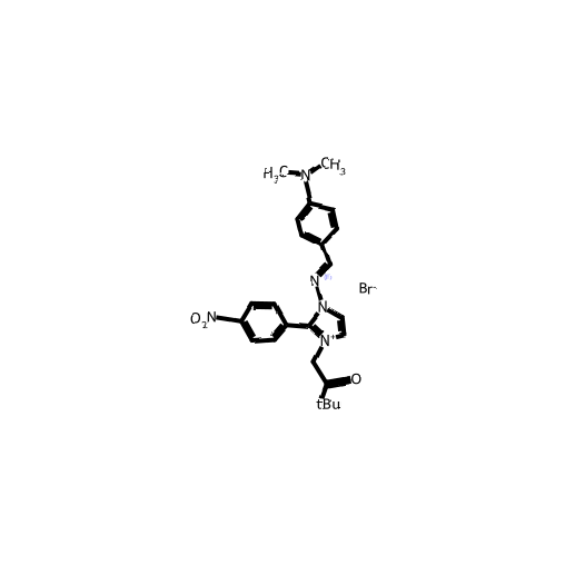 CN(C)c1ccc(/C=N/n2cc[n+](CC(=O)C(C)(C)C)c2-c2ccc([N+](=O)[O-])cc2)cc1.[Br-]